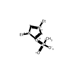 CCn1cc[n+](CC)c1.CS(=O)(=O)[O-]